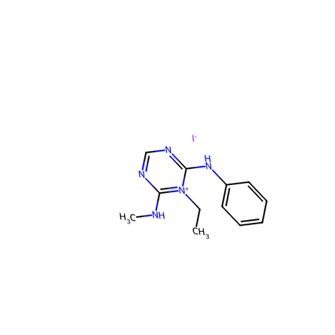 CC[n+]1c(NC)ncnc1Nc1ccccc1.[I-]